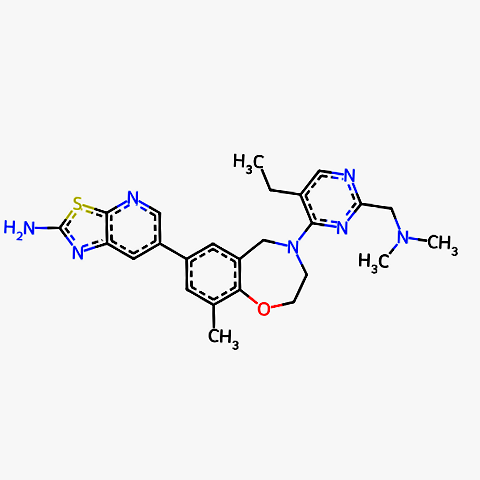 CCc1cnc(CN(C)C)nc1N1CCOc2c(C)cc(-c3cnc4sc(N)nc4c3)cc2C1